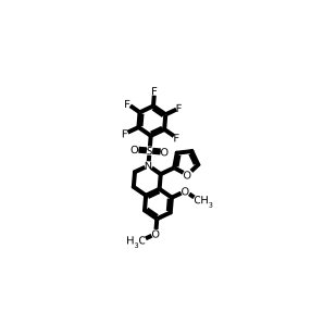 COc1cc2c(c(OC)c1)C(c1ccco1)N(S(=O)(=O)c1c(F)c(F)c(F)c(F)c1F)CC2